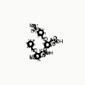 O=S(=O)(O)Cc1ccccc1OCc1ccccc1.O=S(=O)(O)Cc1ccccc1OCc1ccccc1.O=S([O-])[O-].[Na+].[Na+]